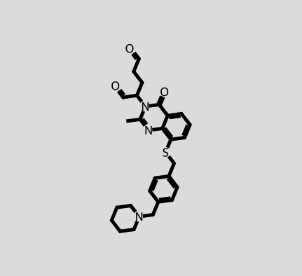 Cc1nc2c(SCc3ccc(CN4CCCCC4)cc3)cccc2c(=O)n1C(C=O)CCC=O